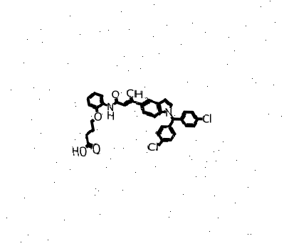 CC(=CC(=O)Nc1ccccc1OCCCC(=O)O)c1ccc2c(ccn2C(c2ccc(Cl)cc2)c2ccc(Cl)cc2)c1